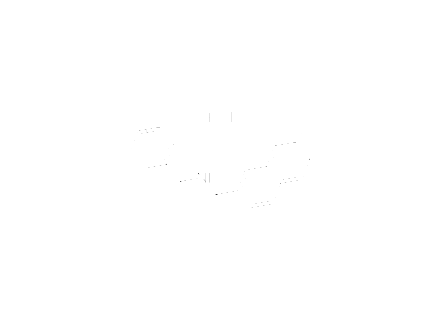 Cl.c1ccc(CNCc2ccc3ccccc3c2)cc1